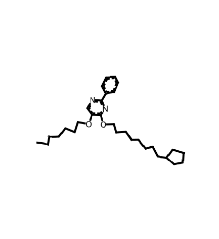 CCCCCCCOc1cnc(-c2ccccc2)nc1OCCCCCCCCC1CCCC1